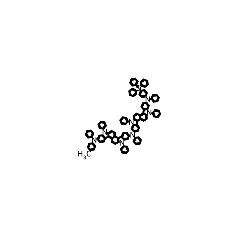 Cc1ccc(N(c2ccccc2)c2ccc3c4c5ccc6c(c5ccc4n(-c4ccccc4)c3c2)c2ccc(N(c3ccccc3)c3ccc4c5c7ccc8c(c7ccc5n(-c5ccccc5)c4c3)c3ccc(N(c4ccccc4)c4ccc([Si](c5ccccc5)(c5ccccc5)c5ccccc5)cc4)cc3n8-c3ccccc3)cc2n6-c2ccccc2)cc1